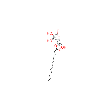 CCCCCCCCCCCC(=O)O[C@H](CO)[C@H]1OC(=O)[C@H](O)[C@H]1O